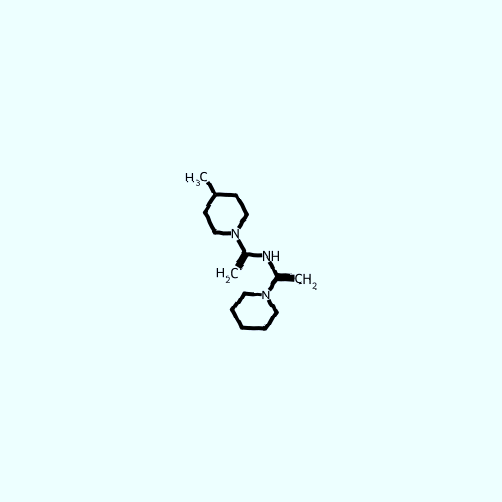 C=C(NC(=C)N1CCC(C)CC1)N1CCCCC1